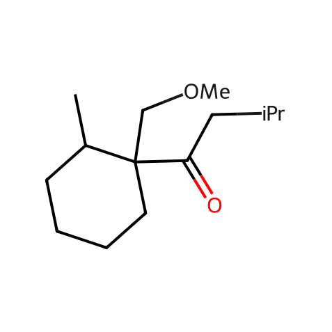 COCC1(C(=O)CC(C)C)CCCCC1C